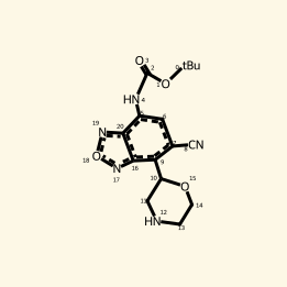 CC(C)(C)OC(=O)Nc1cc(C#N)c(C2CNCCO2)c2nonc12